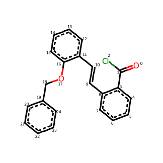 O=C(Cl)c1ccccc1C=Cc1ccccc1OCc1ccccc1